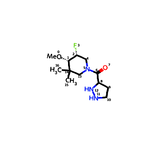 CO[C@@H]1[C@H](F)CN(C(=O)C2CCNN2)CC1(C)C